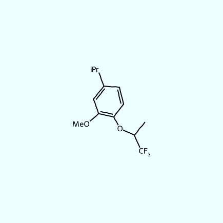 COc1cc(C(C)C)ccc1OC(C)C(F)(F)F